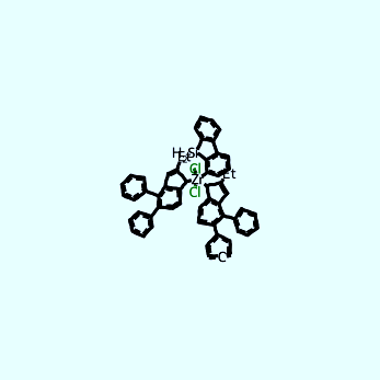 CCC1=Cc2c(ccc(-c3ccccc3)c2-c2ccccc2)[CH]1[Zr]([Cl])([Cl])([c]1cccc2c1[SiH2]c1ccccc1-2)[CH]1C(CC)=Cc2c1ccc(-c1ccccc1)c2-c1ccccc1